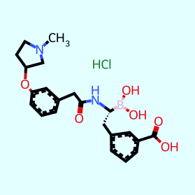 CN1CCC(Oc2cccc(CC(=O)N[C@@H](Cc3cccc(C(=O)O)c3)B(O)O)c2)C1.Cl